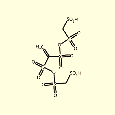 C=C(S(=O)(=O)OS(=O)(=O)CS(=O)(=O)O)S(=O)(=O)OS(=O)(=O)CS(=O)(=O)O